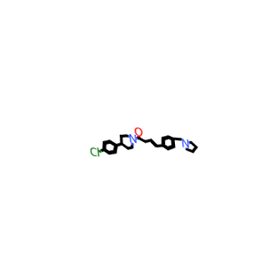 O=C(CC=Cc1ccc(CN2CCCC2)cc1)N1CCC(c2ccc(Cl)cc2)CC1